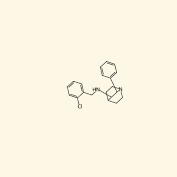 Clc1ccccc1CNC1C2CCN(CC2)C1c1ccccc1